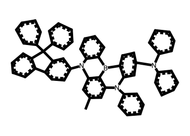 Cc1cc2c3c(c1)N(c1ccccc1)c1cc(N(c4ccccc4)c4ccccc4)ccc1B3c1ccccc1N2c1ccc2c(c1)C(c1ccccc1)(c1ccccc1)c1ccccc1-2